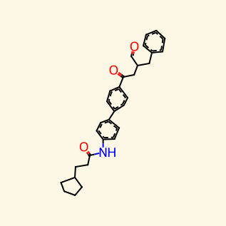 O=CC(CC(=O)c1ccc(-c2ccc(NC(=O)CCC3CCCC3)cc2)cc1)Cc1ccccc1